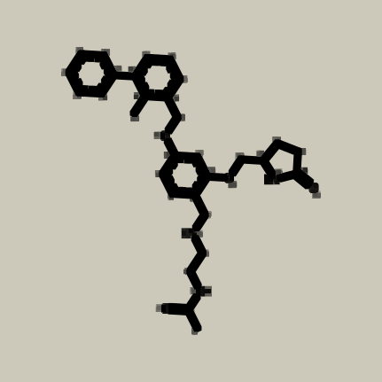 CC(=O)NCCNCc1ccc(OCc2cccc(-c3ccccc3)c2C)cc1OCC1CCC(=O)N1